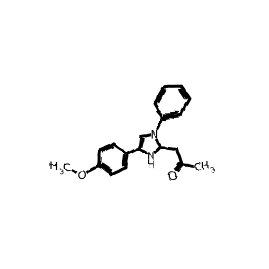 COc1ccc(C2=CN(c3ccccc3)C(CC(C)=O)N2)cc1